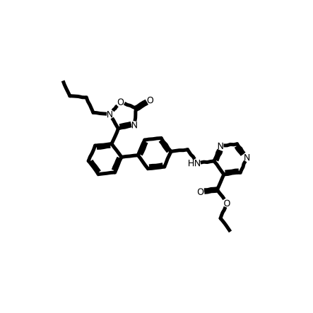 CCCCn1oc(=O)nc1-c1ccccc1-c1ccc(CNc2ncncc2C(=O)OCC)cc1